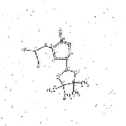 CC1(C)OB(c2ccc(=O)n(CC(F)F)c2)OC1(C)C